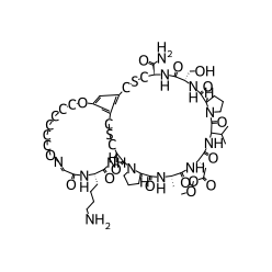 COOC(=O)C[C@@H]1NC(=O)[C@H](C)NC(=O)[C@@H]2CCCN2C(=O)[C@@H]2CSCc3cc(cc(c3)OCCCCCCO/N=C/C(=O)N[C@@H](CCCCN)C(=O)N2)CSC[C@@H](C(N)=O)NC(=O)[C@H](CO)NC(=O)[C@@H]2CCCN2C(=O)C(C(C)C)NC1=O